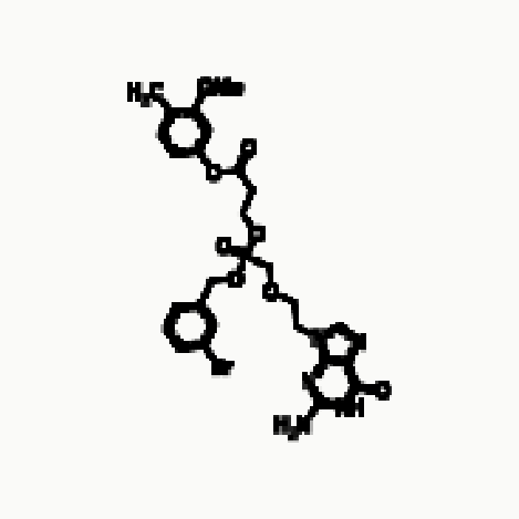 COc1cc(OC(=O)CCOP(=O)(COCCn2cnc3c(=O)[nH]c(N)nc32)OCc2cccc(Br)c2)ccc1C